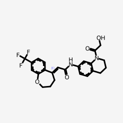 O=C(/C=C1\CCCOc2cc(C(F)(F)F)ccc21)Nc1ccc2c(c1)N(C(=O)CO)CCC2